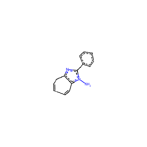 Nn1c(-c2ccccc2)nc2c1C=CC=CC2